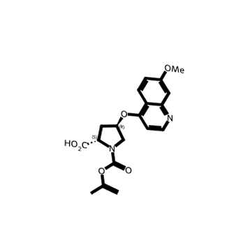 C=C(C)OC(=O)N1C[C@H](Oc2ccnc3cc(OC)ccc23)C[C@H]1C(=O)O